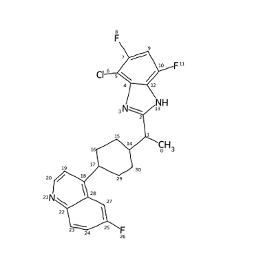 CC(c1nc2c(Cl)c(F)cc(F)c2[nH]1)C1CCC(c2ccnc3ccc(F)cc23)CC1